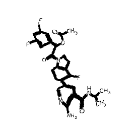 CC(=O)OC(C(=O)N1CCc2c1ccc(-c1cnc(N)c(C(=O)NC(C)C)c1)c2F)c1cc(F)cc(F)c1